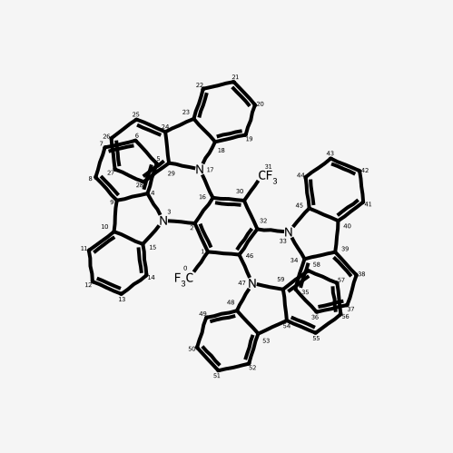 FC(F)(F)c1c(-n2c3ccccc3c3ccccc32)c(-n2c3ccccc3c3ccccc32)c(C(F)(F)F)c(-n2c3ccccc3c3ccccc32)c1-n1c2ccccc2c2ccccc21